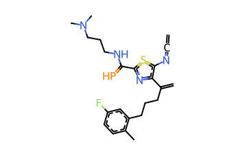 C=C=Nc1sc(C(=P)NCCCN(C)C)nc1C(=C)CCCc1cc(F)ccc1C